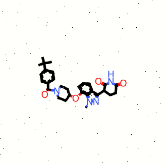 Cn1nc(C2CCC(=O)NC2=O)c2cccc(OC3CCN(C(=O)c4ccc(C(C)(C)C)cc4)CC3)c21